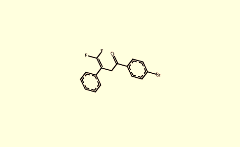 O=C(CC(=C(F)F)c1ccccc1)c1ccc(Br)cc1